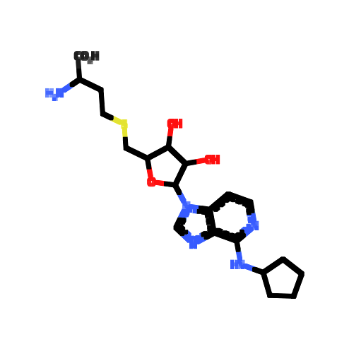 NC(CCSCC1OC(n2cnc3c(NC4CCCC4)nccc32)C(O)C1O)C(=O)O